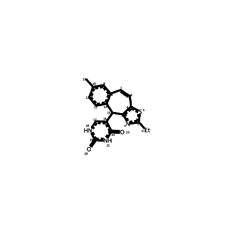 CCc1nc2c(s1)C=Cc1cc(C)ccc1C2c1c[nH]c(=O)[nH]c1=O